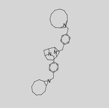 c1cc(CN2C3CCC4CC(C2C3)N4Cc2ccc(CN3C4CCCCCCCC43)cc2)ccc1CN1C2CCCCCCCCC1C2